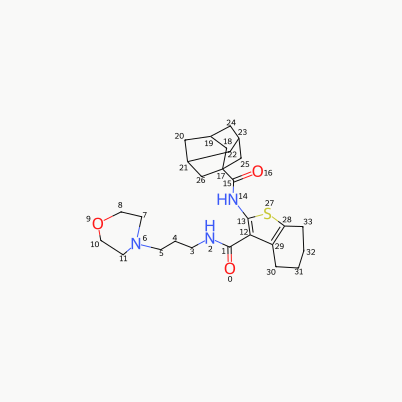 O=C(NCCCN1CCOCC1)c1c(NC(=O)C23CC4CC(CC(C4)C2)C3)sc2c1CCCC2